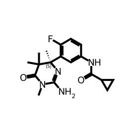 CN1C(=O)C(C)(C)[C@@](C)(c2cc(NC(=O)C3CC3)ccc2F)N=C1N